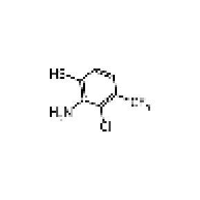 Nc1c(S)ccc(C(F)(F)F)c1Cl